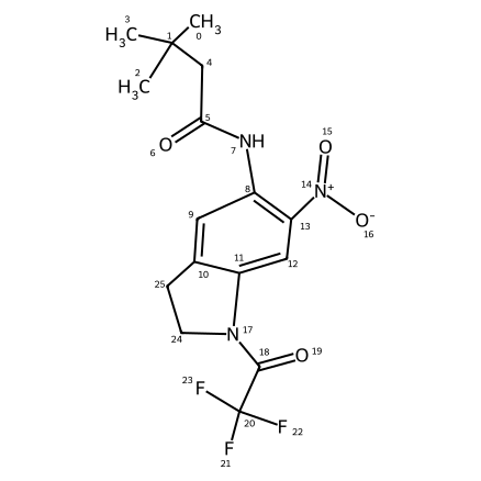 CC(C)(C)CC(=O)Nc1cc2c(cc1[N+](=O)[O-])N(C(=O)C(F)(F)F)CC2